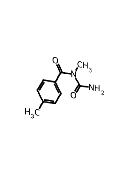 Cc1ccc(C(=O)N(C)C(N)=O)cc1